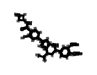 COc1ccc(C2CC(C(F)F)n3nc(-c4ccc(C(=O)NC5CNC5)c(F)c4)cc3N2)cc1OC